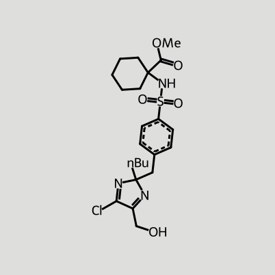 CCCCC1(Cc2ccc(S(=O)(=O)NC3(C(=O)OC)CCCCC3)cc2)N=C(Cl)C(CO)=N1